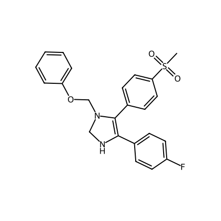 CS(=O)(=O)c1ccc(C2=C(c3ccc(F)cc3)NCN2COc2ccccc2)cc1